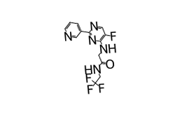 O=C(CNc1nc(-c2cccnc2)ncc1F)NCC(F)(F)F